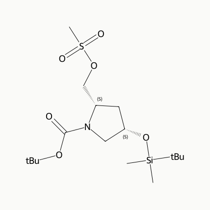 CC(C)(C)OC(=O)N1C[C@@H](O[Si](C)(C)C(C)(C)C)C[C@H]1COS(C)(=O)=O